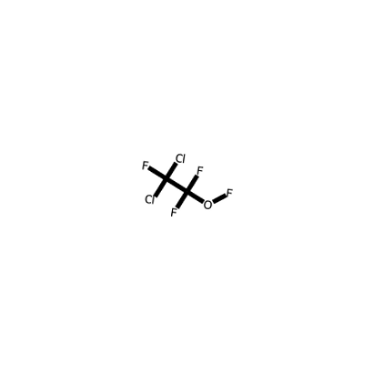 FOC(F)(F)C(F)(Cl)Cl